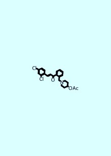 CC(=O)OC1CCN(Cc2ccccc2C(=O)C=Cc2ccc(Cl)cc2Cl)CC1